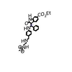 CCOC(=O)c1ccc2c(c1)NC(=O)/C2=C(\Nc1ccc(CNCCNS(C)(=O)=O)cc1)c1ccccc1